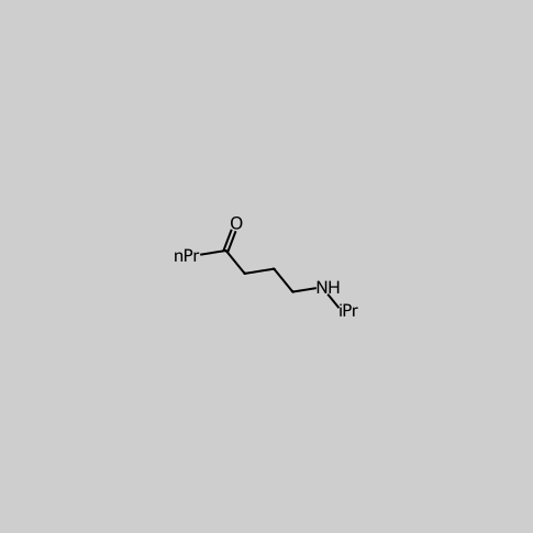 CCCC(=O)CCCNC(C)C